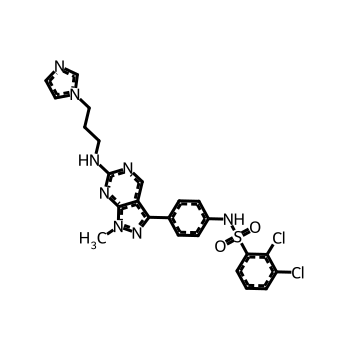 Cn1nc(-c2ccc(NS(=O)(=O)c3cccc(Cl)c3Cl)cc2)c2cnc(NCCCn3ccnc3)nc21